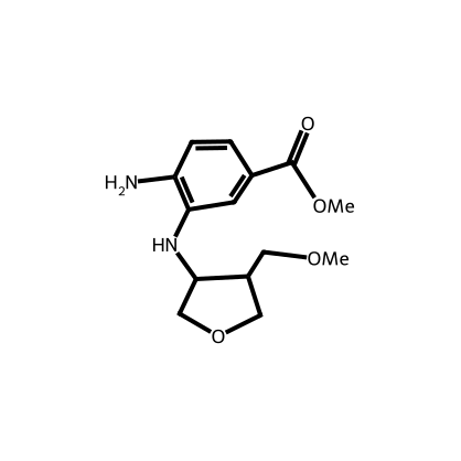 COCC1COCC1Nc1cc(C(=O)OC)ccc1N